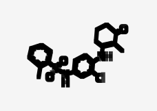 CC1=C(Nc2ccc(NS(=O)(=O)c3ccccc3C)cc2Cl)CCCC1=O